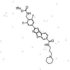 CC(C)(C)OC(=O)NCc1c(F)cc(-c2cn3c(n2)sc2cc(C(=O)NCCCN4CCCCC4)ccc23)cc1F